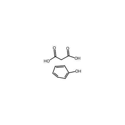 O=C(O)CC(=O)O.Oc1ccccc1